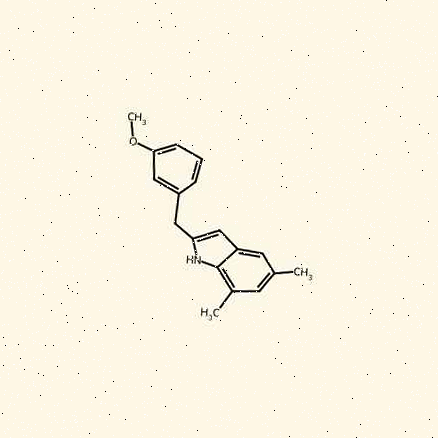 COc1cccc(Cc2cc3cc(C)cc(C)c3[nH]2)c1